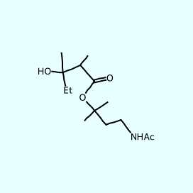 CCC(C)(O)C(C)C(=O)OC(C)(C)CCNC(C)=O